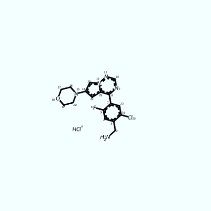 Cl.NCc1cc(F)c(-c2ncnn3cc(N4CCOCC4)cc23)cc1Cl